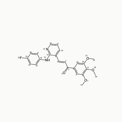 COc1cc(C(=O)C=Cc2cccnc2Nc2ccc(F)cc2)cc(OC)c1OC